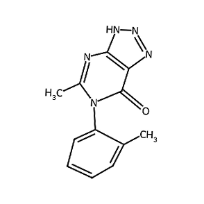 Cc1ccccc1-n1c(C)nc2[nH]nnc2c1=O